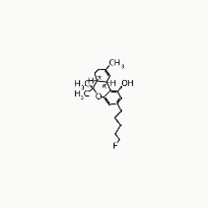 CC1=C[C@H]2c3c(O)cc(CCCCCF)cc3OC(C)(C)[C@@H]2CC1